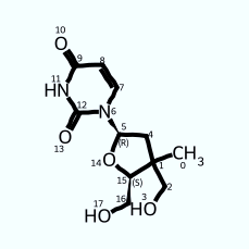 CC1(CO)C[C@H](n2ccc(=O)[nH]c2=O)O[C@@H]1CO